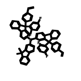 C=Cc1ccc(C2(c3cc(F)ccc3F)c3ccccc3-c3ccc(N(c4ccc5c(c4)C(C)(C)c4ccccc4-5)c4ccc5c(c4)C(c4ccc(C=C)cc4)(c4cc(F)ccc4F)c4ccccc4-5)cc32)cc1